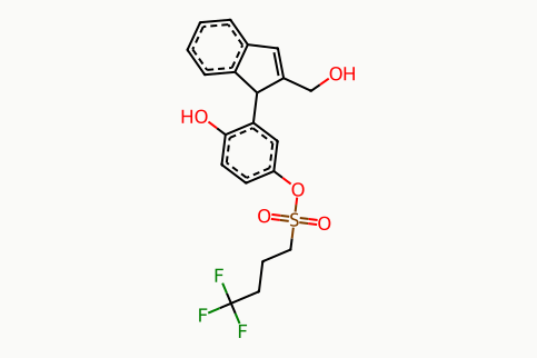 O=S(=O)(CCCC(F)(F)F)Oc1ccc(O)c(C2C(CO)=Cc3ccccc32)c1